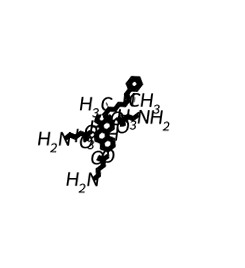 C[C@H](CCCN(C)Cc1ccccc1)[C@H]1CC[C@H]2C3[C@H](OC(=O)CCCN)CC4C[C@H](OC(=O)CCCN)CC[C@]4(C)[C@H]3C[C@H](OC(=O)CCCN)C12C